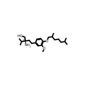 COc1cc(CC[C@@](N)(CO)C(C)C)ccc1OCC(C)CCCC(C)C